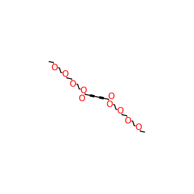 CCOCCOCCOCCOC(=O)C#CC#CC(=O)OCCOCCOCCOCC